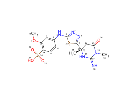 COc1cc(Nc2nnc([C@]3(C)CC(=O)N(C)C(=N)N3)s2)ccc1S(=O)(=O)O